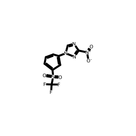 O=[N+]([O-])c1ncn(-c2cccc(S(=O)(=O)C(F)(F)F)c2)n1